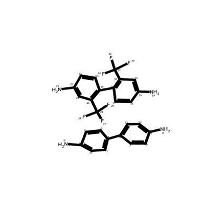 Nc1ccc(-c2ccc(N)cc2)cc1.Nc1ccc(-c2ccc(N)cc2C(F)(F)F)c(C(F)(F)F)c1